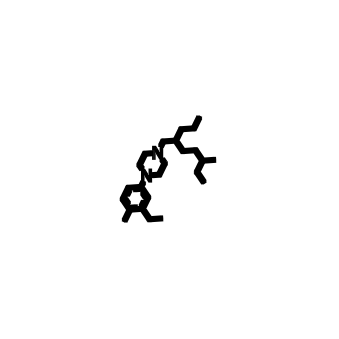 CCCC(CCC(C)CC)CN1CCN(c2ccc(C)c(CC)c2)CC1